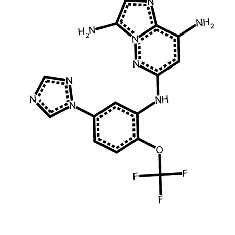 Nc1cc(Nc2cc(-n3cncn3)ccc2OC(F)(F)F)nn2c(N)cnc12